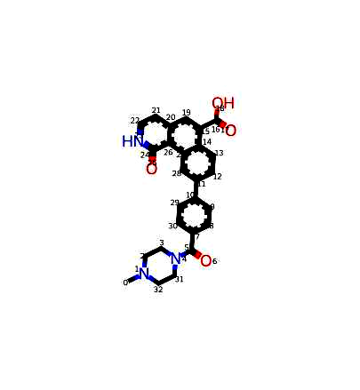 CN1CCN(C(=O)c2ccc(-c3ccc4c(C(=O)O)cc5cc[nH]c(=O)c5c4c3)cc2)CC1